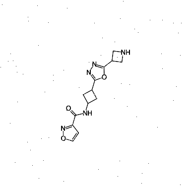 O=C(NC1CC(c2nnc(C3CNC3)o2)C1)c1ccon1